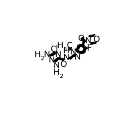 CCn1c(CNC(=O)c2nc(Cl)c(N)nc2N)nc2cc(F)c(C(=O)N3CCOCC3)cc21